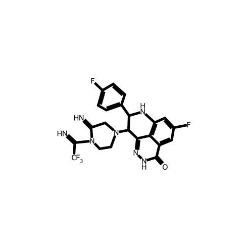 N=C1CN(C2c3n[nH]c(=O)c4cc(F)cc(c34)NC2c2ccc(F)cc2)CCN1C(=N)C(F)(F)F